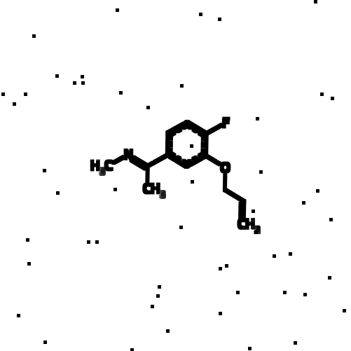 C=CCOc1cc(/C(C)=N/C)ccc1F